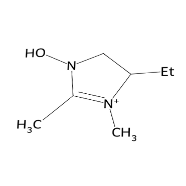 CCC1CN(O)C(C)=[N+]1C